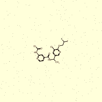 CCC(=O)Nc1cc(C(=O)NC(C)c2cnc(OCC(F)F)c(Cl)c2)ccn1